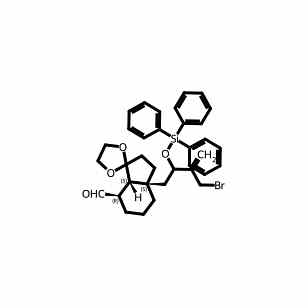 C=C(CBr)C(C[C@@]12CCC[C@@H](C=O)[C@@H]1C1(CC2)OCCO1)O[Si](c1ccccc1)(c1ccccc1)c1ccccc1